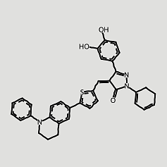 O=C1/C(=C\c2ccc(-c3ccc4c(c3)CCCN4c3ccccc3)s2)C(c2ccc(O)c(O)c2)=NN1C1=CC=CCC1